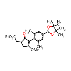 CCOC(=O)CC1CC(OC)=C(c2c(C)cc(B3OC(C)(C)C(C)(C)O3)cc2C)C1=O